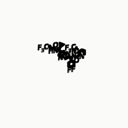 O=C(CCC(F)(F)F)NC(c1cnn2cc([C@@H](NC(=O)c3ncccc3OCC(F)(F)F)C3CCC(F)(F)CC3)nc2c1)C1CC1